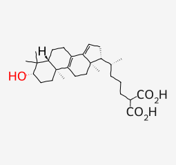 C[C@H](CCCC(C(=O)O)C(=O)O)[C@H]1CC=C2C3=C(CC[C@@]21C)[C@@]1(C)CC[C@H](O)C(C)(C)[C@@H]1CC3